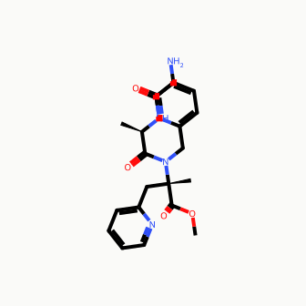 COC(=O)[C@](C)(Cc1ccccn1)N(Cc1ccccn1)C(=O)[C@@H](C)NC(=O)CN